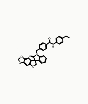 CCc1ccc(NC(=O)c2ccc(CN3C(=O)C4(COc5cc6c(cc54)OCO6)c4ccccc43)cc2)cc1